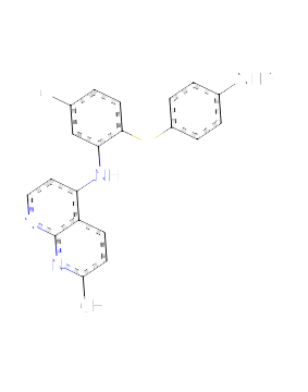 CC(=O)Nc1ccc(Sc2ccc(C(F)(F)F)cc2Nc2ccnc3nc(C)ccc23)cc1